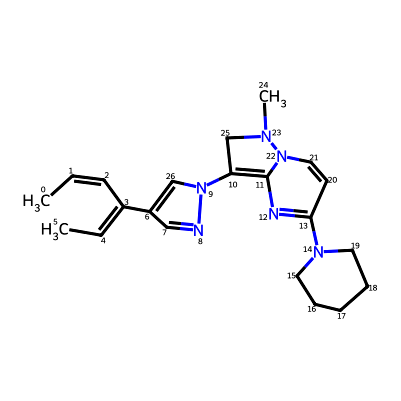 C/C=C\C(=C/C)c1cnn(C2=C3N=C(N4CCCCC4)C=CN3N(C)C2)c1